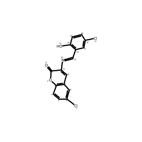 O=c1oc2ccc(Cl)cc2cc1N=Cc1cc(Cl)ccc1O